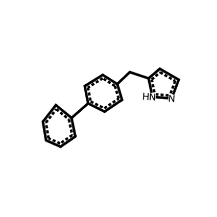 c1ccc(-c2ccc(Cc3ccn[nH]3)cc2)cc1